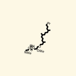 CNCCOP(=O)(O)OCC(COCCC(C)CCCC(C)CCCC(C)CCCC(C)C)OC